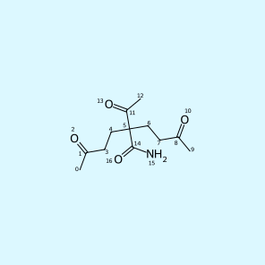 CC(=O)CCC(CCC(C)=O)(C(C)=O)C(N)=O